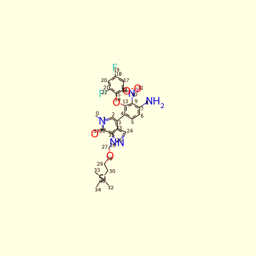 Cn1cc(-c2ccc(N)c([N+](=O)[O-])c2Oc2ccc(F)cc2F)c2cnn(COCC[Si](C)(C)C)c2c1=O